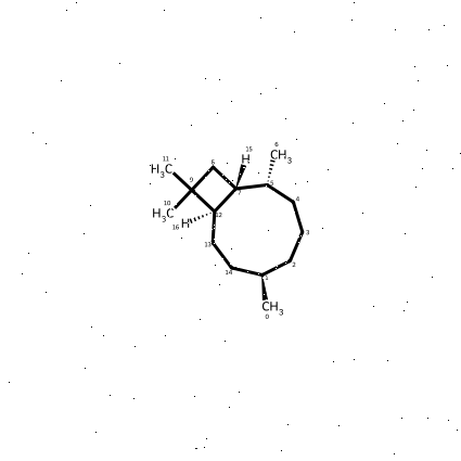 C[C@@H]1CCC[C@@H](C)[C@H]2CC(C)(C)[C@@H]2CC1